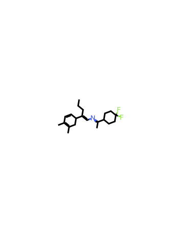 CCC/C(=C\N=C(/C)C1CCC(F)(F)CC1)C1C=CC(C)=C(C)C1